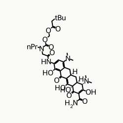 CCCN(CC(=O)Nc1cc(N(C)C)c2c(c1O)C(=O)C1=C(O)[C@]3(O)C(=O)C(C(N)=O)=C(O)[C@@H](N(C)C)[C@@H]3C[C@@H]1C2)C(=O)OCOC(=O)CC(C)(C)C